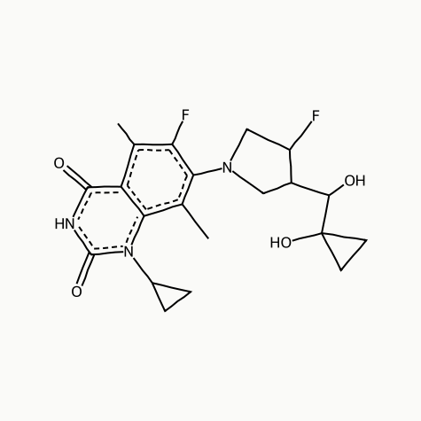 Cc1c(F)c(N2CC(F)C(C(O)C3(O)CC3)C2)c(C)c2c1c(=O)[nH]c(=O)n2C1CC1